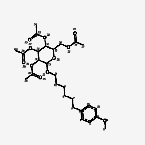 COc1ccc(CCCCCCOC2OC(COC(C)=O)C(OC(C)=O)C(OC(C)=O)C2OC(C)=O)cc1